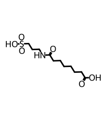 O=C(O)CCCCCCC(=O)NCCCS(=O)(=O)O